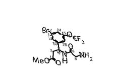 COC(=O)C[C@H](NC(=O)CN)c1cc(Br)cc(OC(F)(F)F)c1